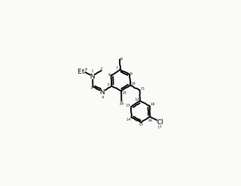 CCN(C)/C=N\c1cc(C)cc(Cc2cccc(Cl)c2)c1C